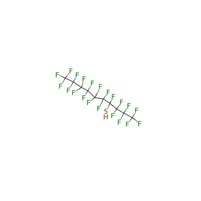 FC(F)(F)C(F)(F)C(F)(F)C(F)(F)C(F)(F)C(F)(F)C(F)(S)C(F)(F)C(F)(F)C(F)(F)F